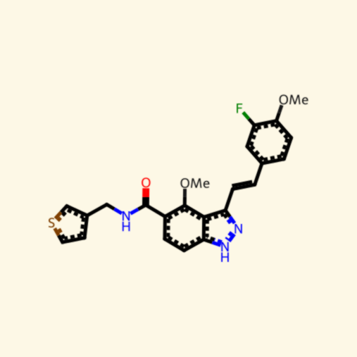 COc1ccc(/C=C/c2n[nH]c3ccc(C(=O)NCc4ccsc4)c(OC)c23)cc1F